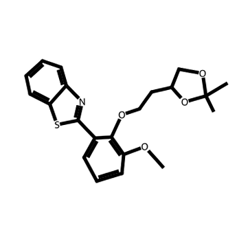 COc1cccc(-c2nc3ccccc3s2)c1OCCC1COC(C)(C)O1